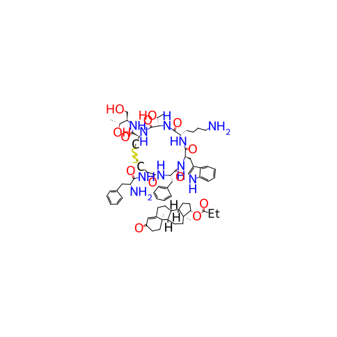 CC(O)[C@@H]1NC(=O)[C@H](CCCCN)NC(=O)[C@@H](Cc2c[nH]c3ccccc23)NC(=O)[C@H](Cc2ccccc2)NC(=O)[C@@H](NC(=O)[C@H](N)Cc2ccccc2)CSSC[C@@H](C(=O)N[C@H](CO)[C@@H](C)O)NC1=O.CCC(=O)O[C@H]1CC[C@H]2[C@@H]3CCC4=CC(=O)CC[C@]4(C)[C@H]3CC[C@]12C